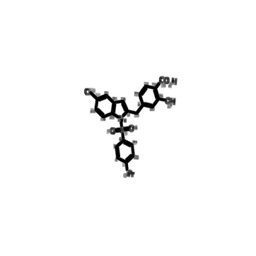 CC(C)c1ccc(S(=O)(=O)n2c(Cc3ccc(C(=O)O)c(O)c3)cc3cc(Cl)ccc32)cc1